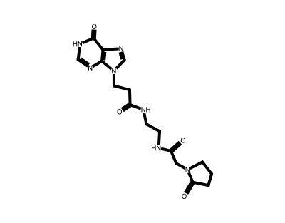 O=C(CCn1cnc2c(=O)[nH]cnc21)NCCNC(=O)CN1CCCC1=O